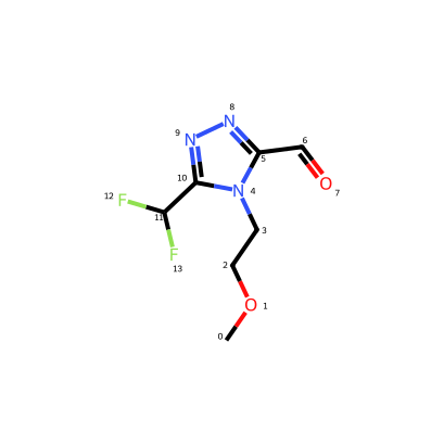 COCCn1c(C=O)nnc1C(F)F